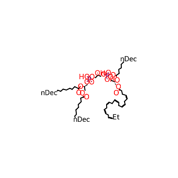 CC/C=C\C/C=C\C/C=C\C/C=C\C/C=C\C/C=C\CCC(=O)OC[C@H](COP(=O)(O)OC[C@@H](O)COP(=O)(O)OC[C@@H](COC(=O)CCCCCCCCCCCCCCCCC)OC(=O)CCCCCCCCCCCCCCCCC)OC(=O)CCCCCCCCCCCCCCC